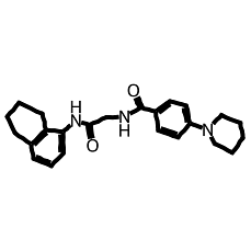 O=C(CNC(=O)c1ccc(N2CCCCC2)cc1)Nc1cccc2c1CCCC2